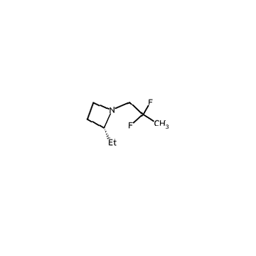 CC[C@@H]1CCN1CC(C)(F)F